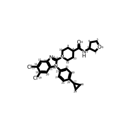 O=C(NC1CCOC1)C1CCN(c2nc3cc(Cl)c(Cl)cc3n2-c2ccc(C3CC3)cc2)CC1